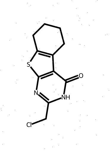 O=c1[nH]c(CCl)nc2sc3c(c12)CCCC3